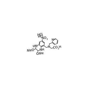 COC1Nc2cc([N+](=O)[O-])cc(CN(CC(=O)O)Cc3ccccn3)c2NC1OC.Cl.Cl